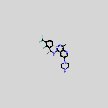 Cc1nnc(N[C@H](C)c2cccc(C(F)F)c2F)c2cc(N3CCNCC3)cnc12